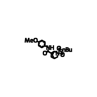 CCCCS(=O)(=O)N1CC2CCC1C(C(=O)Nc1ccc(OC)cc1)C2